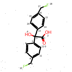 O=C(O)C(O)(c1ccc(CF)cc1)c1ccc(CF)cc1